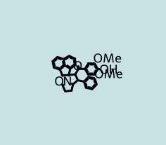 COc1cccc(C2C3CCCN3C3(C(=O)c4cccc5cccc3c45)C2C(=O)c2ccc(O)c(OC)c2)c1